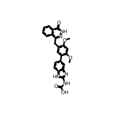 COc1cc(OC)c(-c2ccc3[nH]c(NC(=O)O)nc3c2)cc1Cc1n[nH]c(=O)c2ccccc12